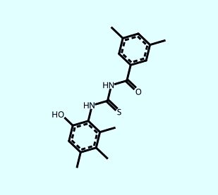 Cc1cc(C)cc(C(=O)NC(=S)Nc2c(O)cc(C)c(C)c2C)c1